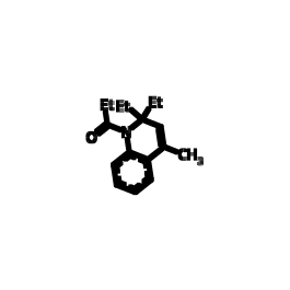 CCC(=O)N1c2ccccc2C(C)=CC1(CC)CC